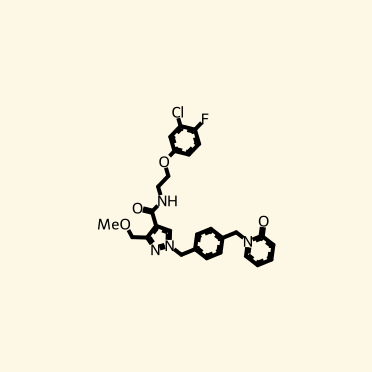 COCc1nn(Cc2ccc(Cn3ccccc3=O)cc2)cc1C(=O)NCCOc1ccc(F)c(Cl)c1